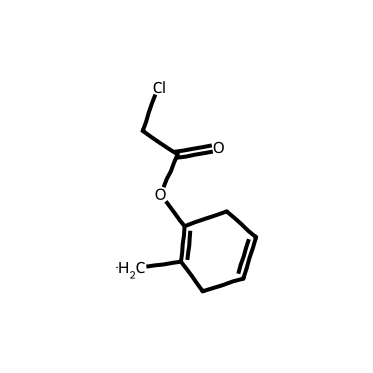 [CH2]C1=C(OC(=O)CCl)CC=CC1